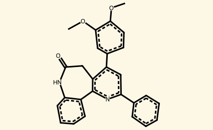 COc1ccc(-c2cc(-c3ccccc3)nc3c2CC(=O)Nc2ccccc2-3)cc1OC